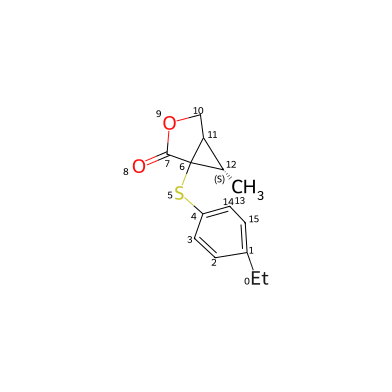 CCc1ccc(SC23C(=O)OCC2[C@@H]3C)cc1